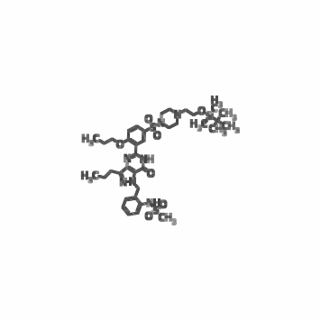 CCCOc1ccc(S(=O)(=O)N2CCN(CCO[Si](C)(C)C(C)(C)C)CC2)cc1-c1nc2c(CCC)nn(Cc3ccccc3NS(C)(=O)=O)c2c(=O)[nH]1